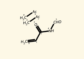 C=CC(=O)NC=O.CC(C)=O.CC(C)=O